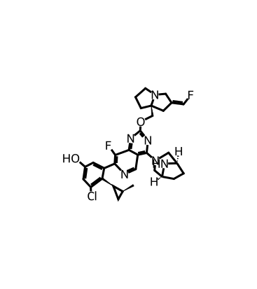 C[C@H]1C[C@H]1c1c(Cl)cc(O)cc1-c1ncc2c(N3C[C@H]4CC[C@@H](C3)N4)nc(OC[C@@]34CCCN3C/C(=C\F)C4)nc2c1F